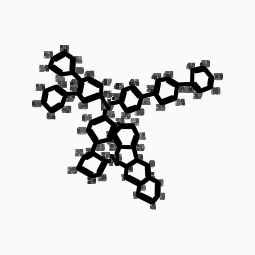 C1=c2ccccc2=CC2C1c1ccccc1N2c1ccccc1-c1ccc(N(c2ccc(-c3ccc(-c4ccccc4)cc3)cc2)c2ccc(-c3ccccc3)c(-c3ccccc3)c2)cc1